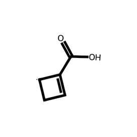 O=C(O)C1=CC[CH]1